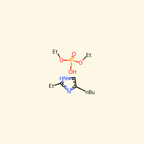 CCCCc1c[nH]c(CC)n1.CCOP(=O)(O)OCC